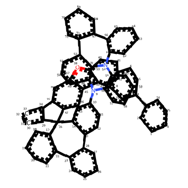 c1ccc(-c2cccc(N(c3ccc4c(c3)C3(c5ccccc5-c5ccccc5-4)c4ccccc4-c4cc5oc6ccccc6c5cc43)c3cccc4c3N(c3ccccc3)c3ccccc3-c3ccccc3-4)c2)cc1